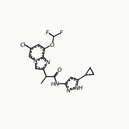 CC(C(=O)Nc1cc(C2CC2)[nH]n1)c1cn2cc(Cl)cc(OC(F)F)c2n1